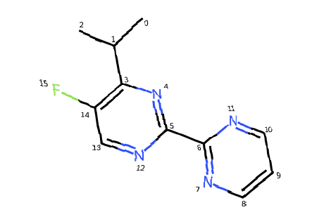 CC(C)c1nc(-c2ncccn2)ncc1F